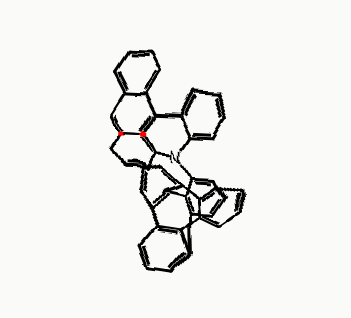 C1=CC(N(c2ccccc2-c2cccc3ccccc23)c2cccc3c2-c2c4cccc2-c2cccc-3c2-c2ccccc2-4)=CCC1